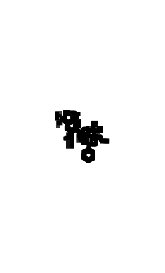 C=CCC(OCc1ccccc1)(c1nnc(-c2nc(Br)c(C(F)(F)F)cc2NC)o1)C(F)(F)F